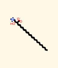 CCCCCCCCCCC=CC=CC=CC=CC=CC=CC(C(=O)[O-])C(O)C[N+](C)(C)C